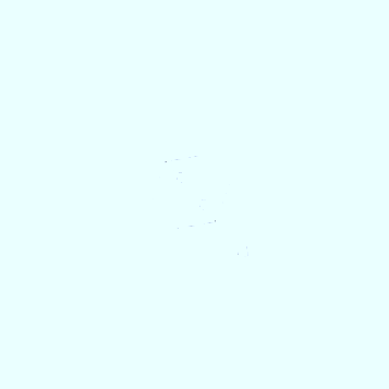 CC12CCC(Cl)(CC1)CC2